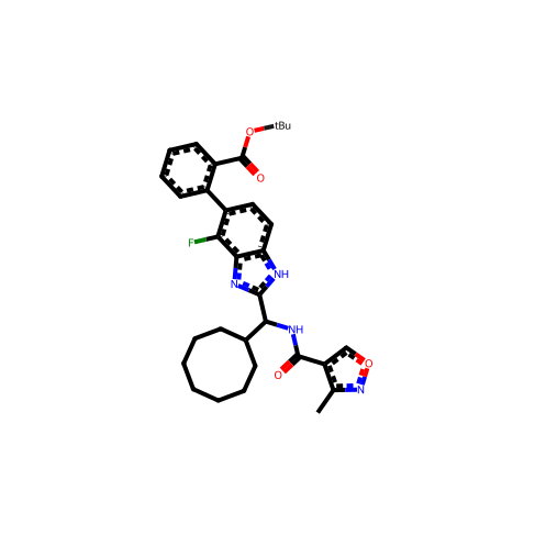 Cc1nocc1C(=O)NC(c1nc2c(F)c(-c3ccccc3C(=O)OC(C)(C)C)ccc2[nH]1)C1CCCCCCC1